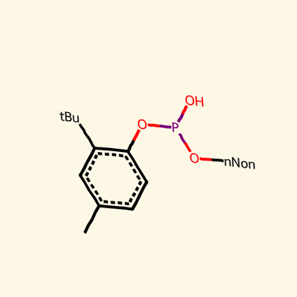 CCCCCCCCCOP(O)Oc1ccc(C)cc1C(C)(C)C